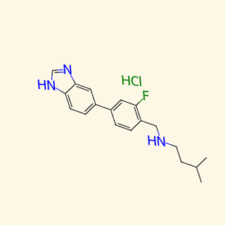 CC(C)CCNCc1ccc(-c2ccc3[nH]cnc3c2)cc1F.Cl